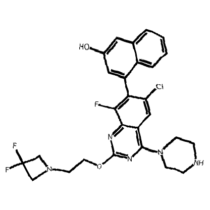 Oc1cc(-c2c(Cl)cc3c(N4CCNCC4)nc(OCCN4CC(F)(F)C4)nc3c2F)c2ccccc2c1